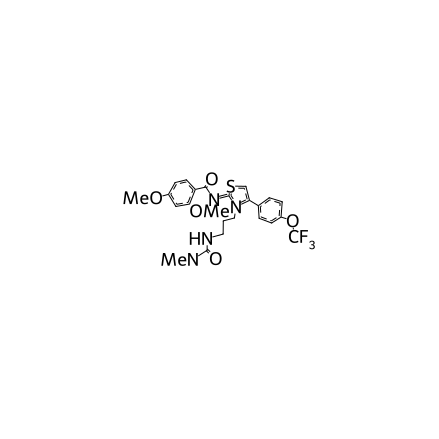 CNC(=O)NCCCn1c(-c2ccc(OC(F)(F)F)cc2)cs/c1=N\C(=O)c1ccc(OC)cc1OC